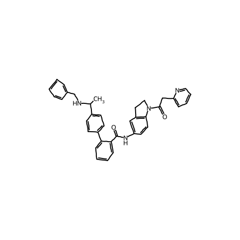 CC(NCc1ccccc1)c1ccc(-c2ccccc2C(=O)Nc2ccc3c(c2)CCN3C(=O)Cc2ccccn2)cc1